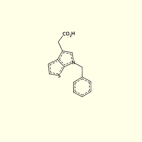 O=C(O)Cc1cn(Cc2ccccc2)c2sccc12